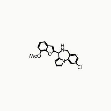 COc1cccc2cc(C3NCc4ccc(Cl)cc4-n4cccc43)oc12